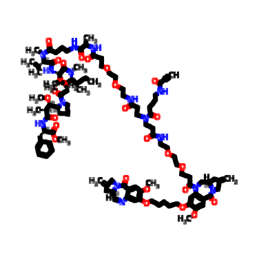 C#CC(=O)NCCCC(=O)N(CCC(=O)NCCOCCOCCC(=O)NC(C)C(=O)NCCCC(=O)N(C)[C@H](C(=O)N[C@H](C(=O)N(C)[C@@H]([C@@H](C)CC)[C@@H](CC(=O)N1CCC[C@H]1[C@H](OC)[C@@H](C)C(=O)N[C@@H](Cc1ccccc1)C(=O)OC)OC)C(C)C)C(C)C)CCC(=O)NCCOCCOCCC(=O)N1C[C@@H]2CC(=C)CN2C(=O)c2cc(OC)c(OCCCCCOc3cc4c(cc3OC)C(=O)N3CC(=C)C[C@H]3C=N4)cc21